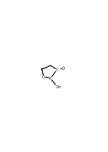 [O-][S@@+]1CCON1O